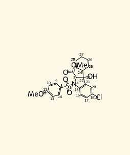 COC(=O)C1N(S(=O)(=O)c2ccc(OC)cc2)c2ccc(Cl)cc2C1(O)C1CCCCC1